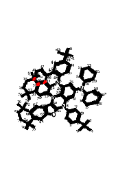 CC(C)(C)c1ccc(N2c3cc(N(c4ccccc4)c4ccccc4)cc4c3B(c3cc5c(cc3N4c3ccc(C(C)(C)C)cc3-c3ccccc3)C(C)(C)CCC5(C)C)c3c2oc2cc4c(cc32)C(C)(C)CCC4(C)C)cc1